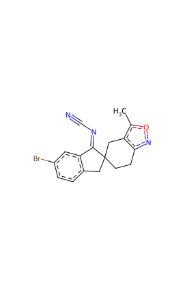 Cc1onc2c1CC1(CC2)Cc2ccc(Br)cc2C1=NC#N